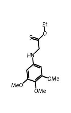 CCOC(=S)CNc1cc(OC)c(OC)c(OC)c1